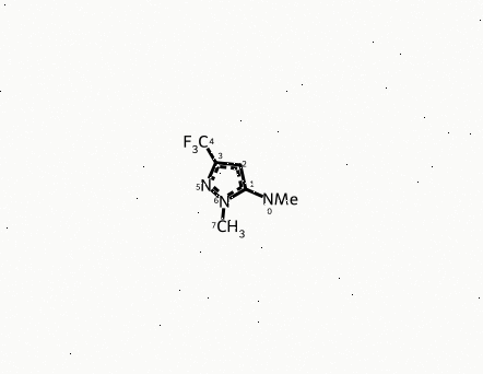 CNc1cc(C(F)(F)F)nn1C